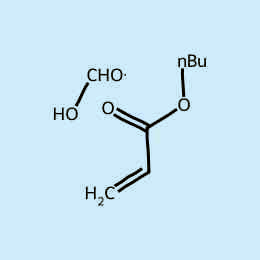 C=CC(=O)OCCCC.O=[C]O